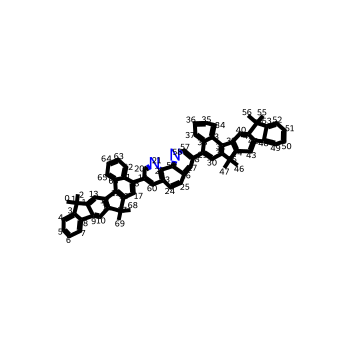 CC1(C)c2ccccc2-c2cc3c(cc21)-c1c(cc(-c2cnc4c(ccc5cc(-c6cc7c(c8ccccc68)-c6cc8c(cc6C7(C)C)-c6ccccc6C8(C)C)cnc54)c2)c2ccccc12)C3(C)C